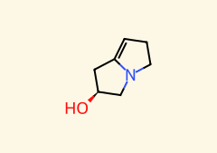 O[C@H]1CC2=CCCN2C1